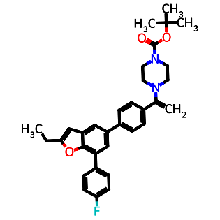 C=C(c1ccc(-c2cc(-c3ccc(F)cc3)c3oc(CC)cc3c2)cc1)N1CCN(C(=O)OC(C)(C)C)CC1